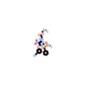 CCOC(=O)CNc1nc(S(C)(=O)=O)nc(Oc2cc(C#N)ccc2OCc2ccccc2)c1[N+](=O)[O-]